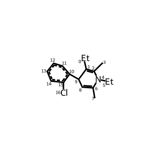 CCC1=C(C)N(CC)C(C)=CC1c1ccccc1Cl